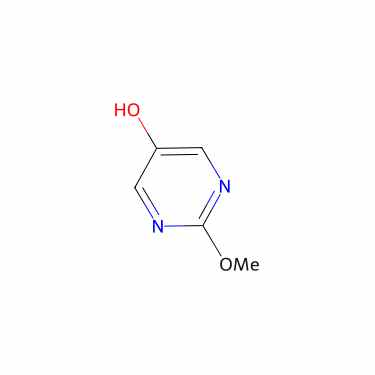 COc1ncc(O)cn1